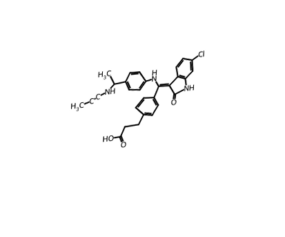 CCCNC(C)c1ccc(NC(=C2C(=O)Nc3cc(Cl)ccc32)c2ccc(CCC(=O)O)cc2)cc1